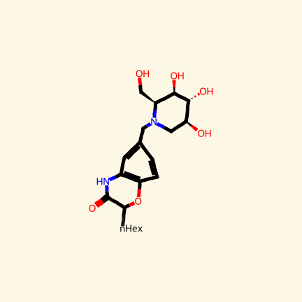 CCCCCCC1Oc2ccc(CN3C[C@H](O)[C@@H](O)[C@H](O)[C@@H]3CO)cc2NC1=O